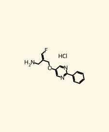 Cl.NC/C(=C/F)COc1cnc(-c2ccccc2)nc1